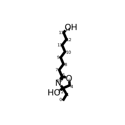 CCC1(O)COC(CCCCCCCO)=N1